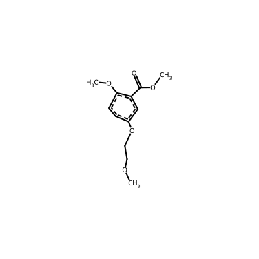 COCCOc1ccc(OC)c(C(=O)OC)c1